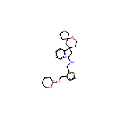 c1ccc(C2(CCNCc3sccc3CO[C@@H]3CCCCO3)CCOC3(CCCC3)C2)nc1